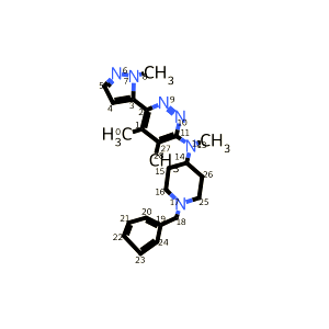 Cc1c(-c2ccnn2C)nnc(N(C)C2CCN(Cc3ccccc3)CC2)c1C